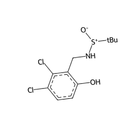 CC(C)(C)[S+]([O-])NCc1c(O)ccc(Cl)c1Cl